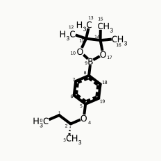 CC[C@@H](C)Oc1ccc(B2OC(C)(C)C(C)(C)O2)cc1